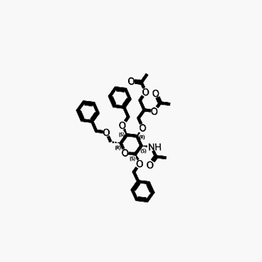 CC(=O)N[C@@H]1[C@@H](OCc2ccccc2)O[C@H](COCc2ccccc2)[C@@H](OCc2ccccc2)[C@@H]1OCC(COC(C)=O)OC(C)=O